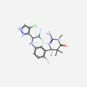 CN1C(=O)C(C)(C)[C@@](C)(c2cc(NC(c3n[nH]cc3Cl)C(F)F)ccc2F)N=C1N